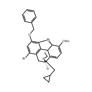 COC1=CC=C2[C@H]3Cc4c(Br)cc(OCc5ccccc5)c5c4[C@@]2(CCN3CC2CC2)[C@H]1O5